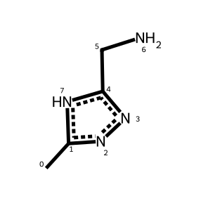 Cc1nnc(CN)[nH]1